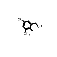 Cc1cc(C#N)cc(CO)c1I